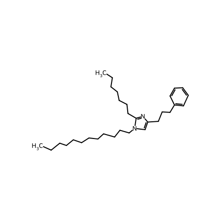 CCCCCCCCCCCCn1cc(CCCc2ccccc2)nc1CCCCCCC